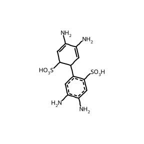 NC1=CC(c2cc(N)c(N)cc2S(=O)(=O)O)C(S(=O)(=O)O)C=C1N